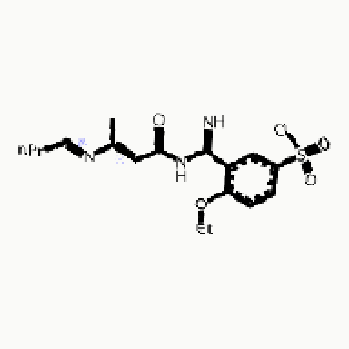 CCC/C=N/C(C)=C/C(=O)NC(=N)c1cc(S(=O)(=O)Cl)ccc1OCC